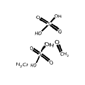 C=O.O=S(=O)(O)O.O=S(=O)(O)O.[CaH2]